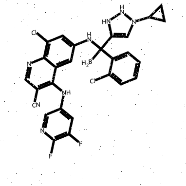 BC(Nc1cc(Cl)c2ncc(C#N)c(Nc3cnc(F)c(F)c3)c2c1)(C1=CN(C2CC2)NN1)c1ccccc1Cl